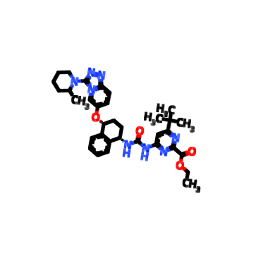 CCOC(=O)c1nc(NC(=O)N[C@H]2CC[C@@H](Oc3ccc4nnc(N5CCCCC5C)n4c3)c3ccccc32)cc(C(C)(C)C)n1